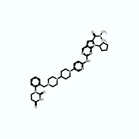 CN(C)C(=O)c1cc2cnc(Nc3ccc(N4CCC(N5CCN(Cc6ccccc6N6CCC(=O)NC6=O)CC5)CC4)cn3)nc2n1C1CCCC1